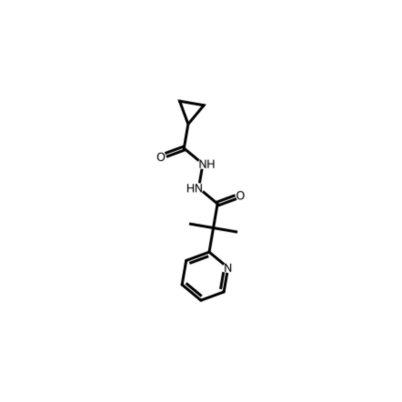 CC(C)(C(=O)NNC(=O)C1CC1)c1ccccn1